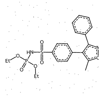 CCOP(=O)(NS(=O)(=O)c1ccc(-c2c(-c3ccccc3)noc2C)cc1)OCC